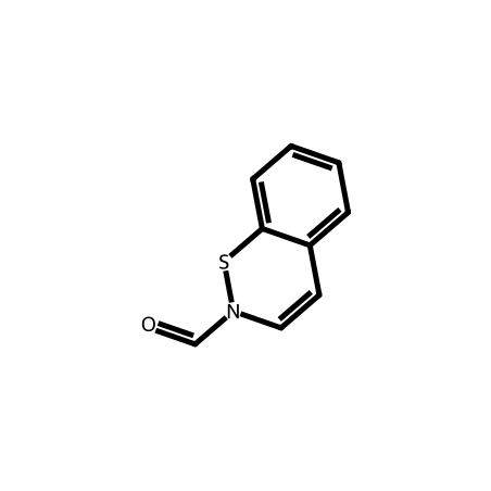 O=CN1C=Cc2ccccc2S1